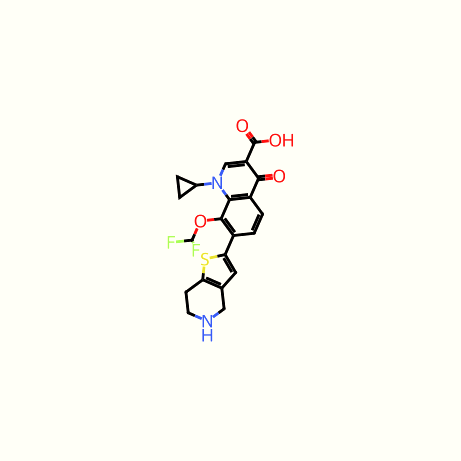 O=C(O)c1cn(C2CC2)c2c(OC(F)F)c(-c3cc4c(s3)CCNC4)ccc2c1=O